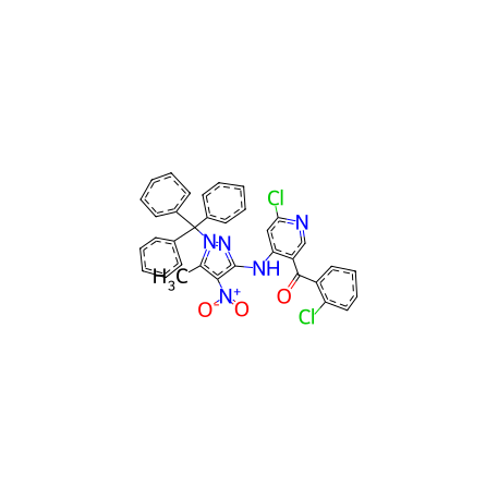 Cc1c([N+](=O)[O-])c(Nc2cc(Cl)ncc2C(=O)c2ccccc2Cl)nn1C(c1ccccc1)(c1ccccc1)c1ccccc1